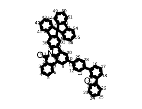 O=c1c2ccccc2c2cc(-c3ccc(-c4cccc5c4oc4ccccc45)cc3)cc3c4cc5c(cc4n1c23)-c1ccccc1C51c2ccccc2-c2ccccc21